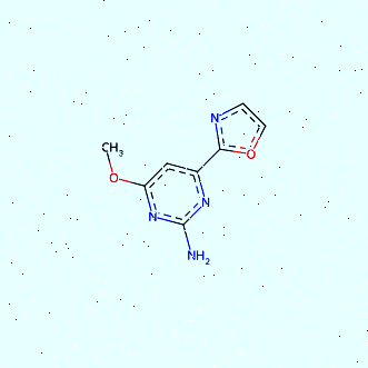 COc1cc(-c2ncco2)nc(N)n1